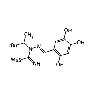 CSC(=N)N(/N=C/c1cc(O)c(O)cc1O)C(C)C(C)(C)C